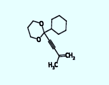 C=C(C)C#CC1(C2CCCCC2)OCCCO1